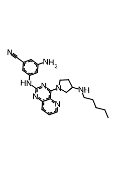 CCCCCNC1CCN(c2nc(Nc3cc(N)cc(C#N)c3)nc3cccnc23)C1